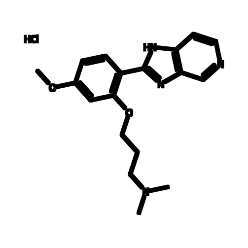 COc1ccc(-c2nc3cnccc3[nH]2)c(OCCCN(C)C)c1.Cl